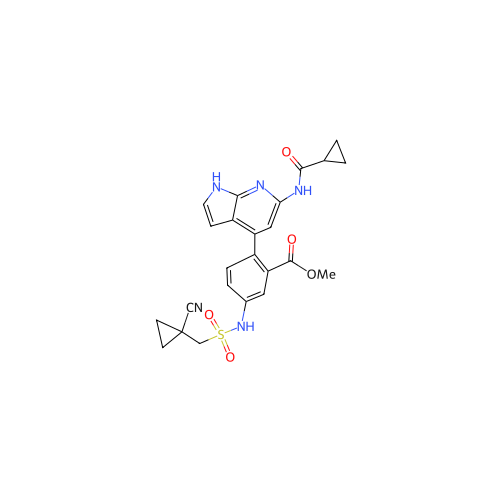 COC(=O)c1cc(NS(=O)(=O)CC2(C#N)CC2)ccc1-c1cc(NC(=O)C2CC2)nc2[nH]ccc12